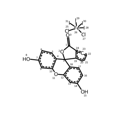 O=C1OC2(c3ccc(O)cc3Oc3cc(O)ccc32)c2ccccc21.[Cl][Fe]([Cl])([I])([I])([I])[I]